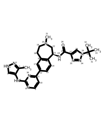 Cc1n[nH]cc1Nc1nccc(-c2ccc3c(c2)CCN(C)C[C@H]3NC(=O)c2cn(C(C)(C)C)nn2)n1